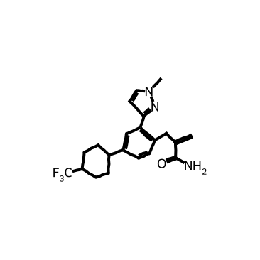 C=C(Cc1ccc(C2CCC(C(F)(F)F)CC2)cc1-c1ccn(C)n1)C(N)=O